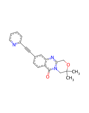 CC1(C)Cn2c(nc3cc(C#Cc4ccccn4)ccc3c2=O)CO1